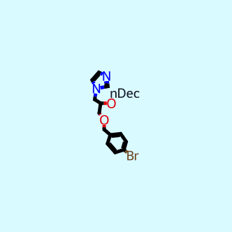 CCCCCCCCCCOC(COCc1ccc(Br)cc1)Cn1ccnc1